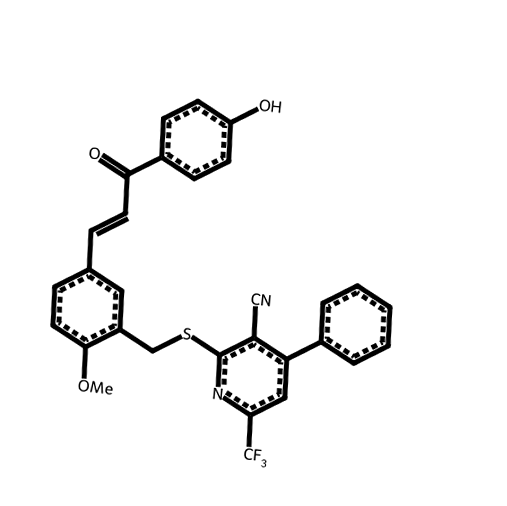 COc1ccc(/C=C/C(=O)c2ccc(O)cc2)cc1CSc1nc(C(F)(F)F)cc(-c2ccccc2)c1C#N